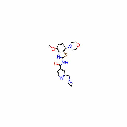 COc1ccc(N2CCOCC2)c2sc(NC(=O)c3ccnc(CN4CCC4)c3)nc12